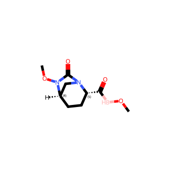 COBC(=O)[C@@H]1CC[C@@H]2CN1C(=O)N2OC